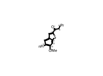 CCCc1cc2cc(C(=O)CC(C)C)sc2cc1OC